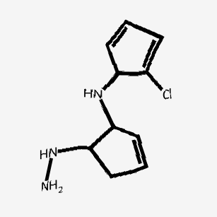 NNC1CC=CC1NC1C=CC=C1Cl